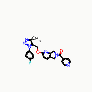 Cc1nnn(-c2ccc(F)cc2)c1COc1ccc2c(n1)CN(C(=O)c1ccncc1)C2